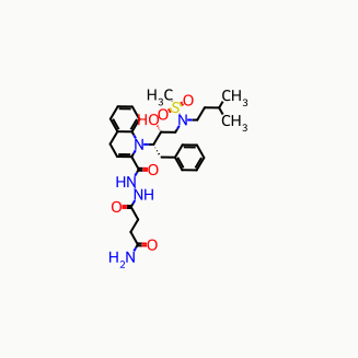 CC(C)CCN(C[C@@H](O)[C@H](Cc1ccccc1)N1C(C(=O)NNC(=O)CCC(N)=O)=CCc2ccccc21)S(C)(=O)=O